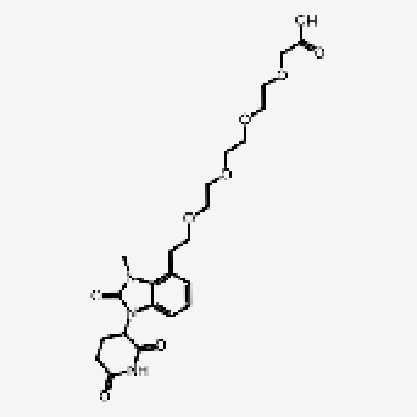 Cn1c(=O)n(C2CCC(=O)NC2=O)c2cccc(CCOCCOCCOCCOCC(=O)O)c21